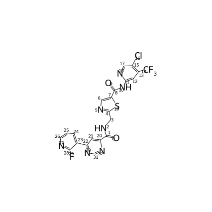 O=C(NCc1ncc(C(=O)Nc2cc(C(F)(F)F)c(Cl)cn2)s1)c1cc(-c2cccnc2F)ncn1